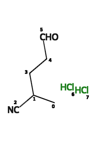 CC(C#N)CCC=O.Cl.Cl